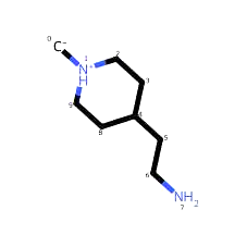 [CH2-][NH+]1CCC(CCN)CC1